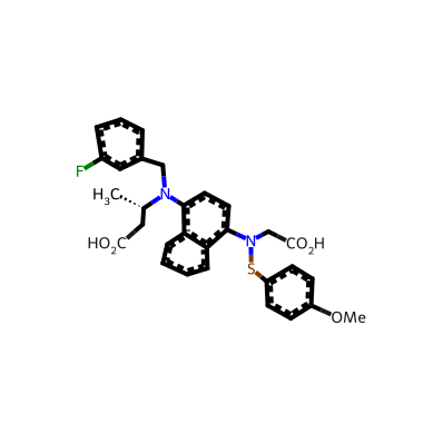 COc1ccc(SN(CC(=O)O)c2ccc(N(Cc3cccc(F)c3)[C@@H](C)CC(=O)O)c3ccccc23)cc1